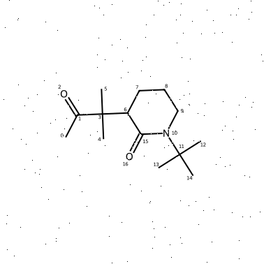 CC(=O)C(C)(C)C1CCCN(C(C)(C)C)C1=O